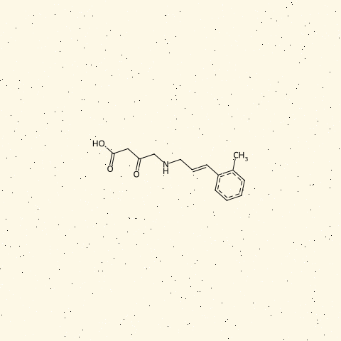 Cc1ccccc1/C=C/CNCC(=O)CC(=O)O